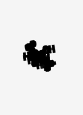 Cc1ccc(C(NCCCC[C@H](NC(=O)[C@H](Cc2ccccc2)NC(=O)OCC2c3ccccc3-c3ccccc32)C(=O)Nc2ccc(CO)cc2)(c2ccccc2)c2ccccc2)cc1